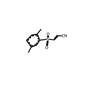 Cc1ccc(C)c(S(=O)(=O)C=CC#N)c1